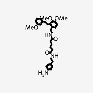 COc1cccc(CCc2c(CCNC(=O)CCCCC(=O)NCCc3ccc(N)cc3)ccc(OC)c2OC)c1